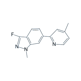 Cc1ccnc(-c2ccc3c(F)nn(C)c3c2)c1